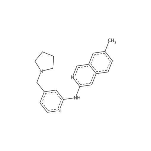 Cc1ccc2cc(Nc3cc(CN4CCCC4)ccn3)ncc2c1